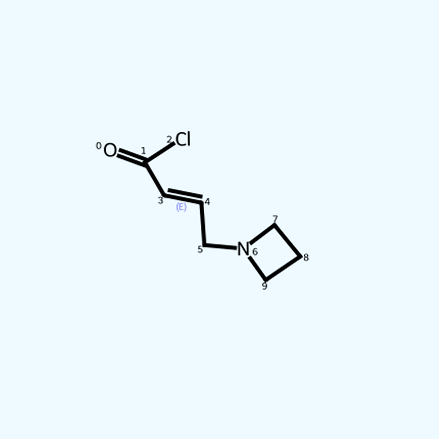 O=C(Cl)/C=C/CN1CCC1